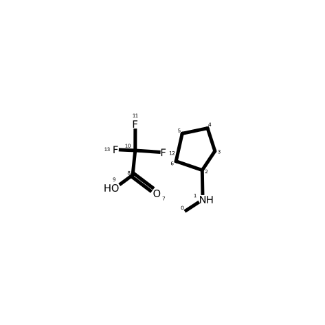 CNC1CCCC1.O=C(O)C(F)(F)F